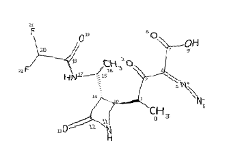 CC(C(=O)C(=[N+]=[N-])C(=O)O)[C@H]1NC(=O)[C@@H]1C(C)NC(=O)C(F)F